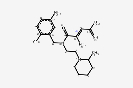 CC1CCCCN1CCN(Cc1cc(N)ccc1Cl)C(=O)/C(N)=C/C(=N)C(F)(F)F